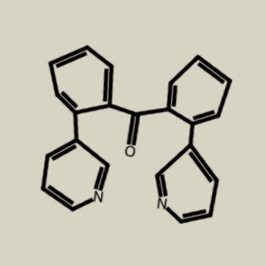 O=C(c1ccccc1-c1cccnc1)c1ccccc1-c1cccnc1